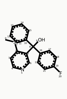 CSc1ccncc1C(O)(c1ccccc1)c1ccc(F)cc1